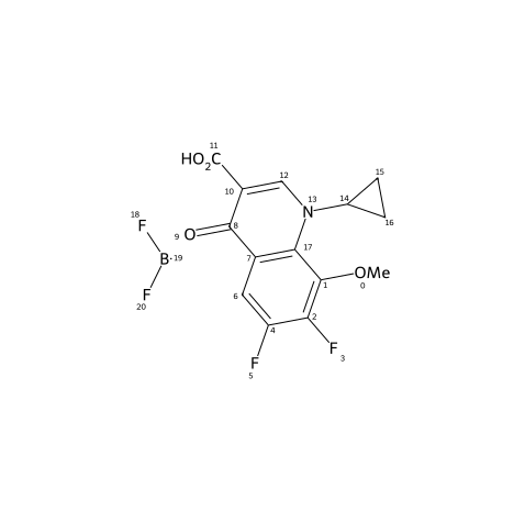 COc1c(F)c(F)cc2c(=O)c(C(=O)O)cn(C3CC3)c12.F[B]F